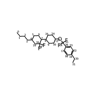 CCCCC1CCC(C2CCC(OC(F)(F)c3ccc(CC)cc3)CC2)C(F)(F)C1